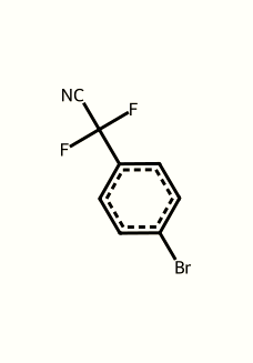 N#CC(F)(F)c1ccc(Br)cc1